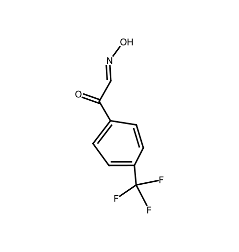 O=C(/C=N/O)c1ccc(C(F)(F)F)cc1